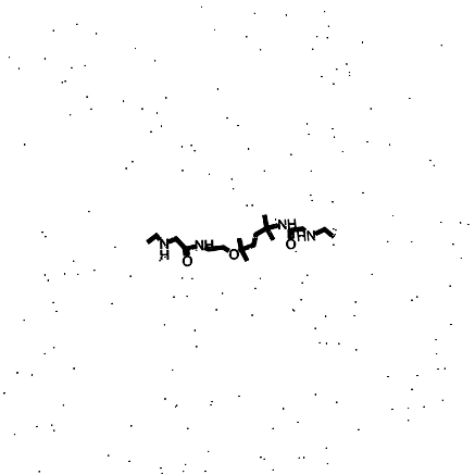 CCNCC(=O)NCCOC(C)(C)CCC(C)(C)NC(=O)CNCC